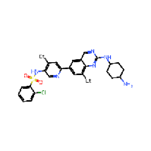 CCc1cc(-c2cc(CC)c3nc(NC4CCC(N)CC4)ncc3c2)ncc1NS(=O)(=O)c1ccccc1Cl